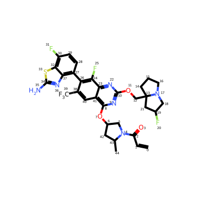 C=CC(=O)N1CC(Oc2nc(OCC34CCCN3CC(F)C4)nc3c(F)c(-c4ccc(F)c5sc(N)nc45)c(C(F)(F)F)cc23)CC1C